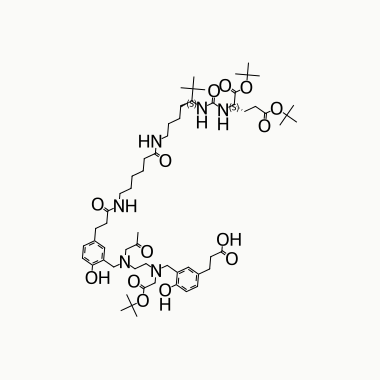 CC(=O)CN(CCN(CC(=O)OC(C)(C)C)Cc1cc(CCC(=O)O)ccc1O)Cc1cc(CCC(=O)NCCCCCC(=O)NCCCC[C@H](NC(=O)N[C@@H](CCC(=O)OC(C)(C)C)C(=O)OC(C)(C)C)C(C)(C)C)ccc1O